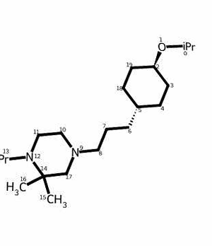 CC(C)O[C@H]1CC[C@H](CCCN2CCN(C(C)C)C(C)(C)C2)CC1